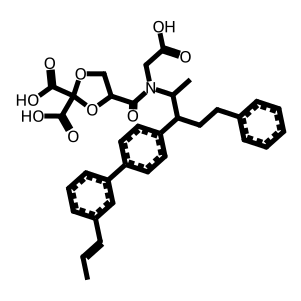 CC=Cc1cccc(-c2ccc(C(CCc3ccccc3)C(C)N(CC(=O)O)C(=O)C3COC(C(=O)O)(C(=O)O)O3)cc2)c1